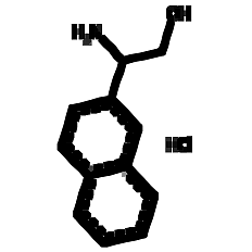 Cl.NC(CO)c1ccc2ccccc2c1